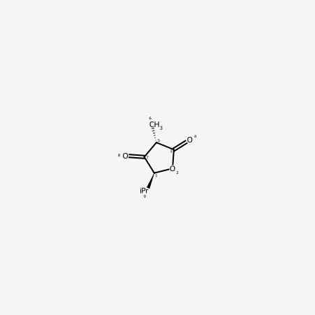 CC(C)[C@@H]1OC(=O)[C@@H](C)C1=O